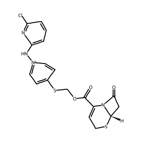 O=C(OCSc1cc[n+](Nc2cccc(Cl)n2)cc1)C1=CCS[C@H]2CC(=O)N12